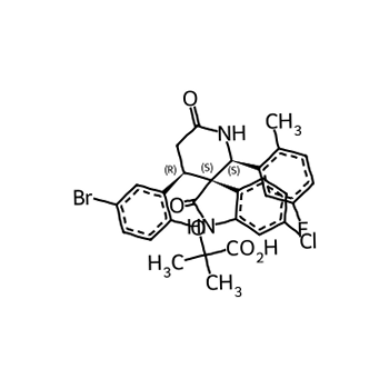 Cc1ccc(F)cc1[C@@H]1NC(=O)C[C@H](c2cc(Br)ccc2OC(C)(C)C(=O)O)[C@@]12C(=O)Nc1cc(Cl)ccc12